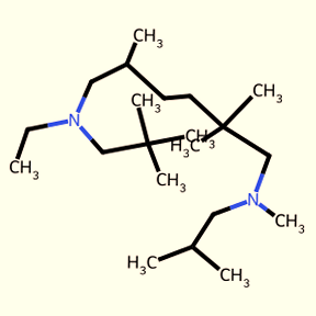 CCN(CC(C)CCC(C)(C)CN(C)CC(C)C)CC(C)(C)C